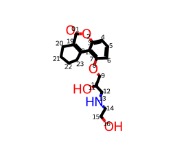 O=c1oc2cccc(OCC(O)CNCCO)c2c2c1CCCC2